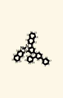 c1ccc(-c2ccc(-c3cc4c5cc6ccccc6cc5n5c4c(c3)n3c4cc6ccccc6cc4nc35)c(-c3ccccc3)c2)cc1